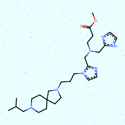 COC(=O)CCN(Cc1ncc[nH]1)Cc1nccn1CCCN1CCC2(CCN(CC(C)C)CC2)C1